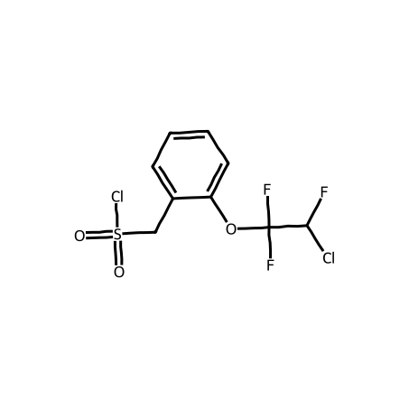 O=S(=O)(Cl)Cc1ccccc1OC(F)(F)C(F)Cl